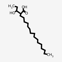 CCCCCCCCCCCCCCCCC(C(=O)O)C(O)CC